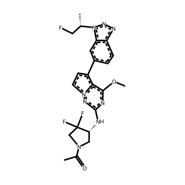 COc1nc(N[C@@H]2CN(C(C)=O)CC2(F)F)nn2ccc(-c3ccc4nnn([C@@H](C)CF)c4c3)c12